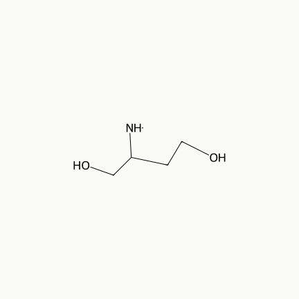 [NH]C(CO)CCO